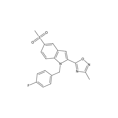 Cc1noc(-c2cc3cc(S(C)(=O)=O)ccc3n2Cc2ccc(F)cc2)n1